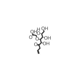 C=CCC(=O)[C@H](O)[C@@H](OCC(=O)O)[C@@H](O)[C@H](O)CO